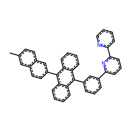 Cc1ccc2cc(-c3c4ccccc4c(-c4cccc(-c5cccc(-c6ccccn6)n5)c4)c4ccccc34)ccc2c1